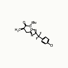 C=C(Cc1nc(C(F)(F)c2ccc(Cl)cc2)no1)C(=O)OC(C)(C)C